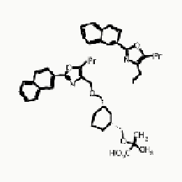 CC(C)c1oc(-c2ccc3ccccc3c2)nc1CI.CC(C)c1oc(-c2ccc3ccccc3c2)nc1COC[C@H]1CCC[C@@H](COC(C)(C)C(=O)O)C1